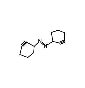 C1#CC(N=NC2C#CCCC2)CCC1